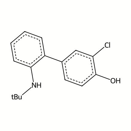 CC(C)(C)Nc1ccccc1-c1ccc(O)c(Cl)c1